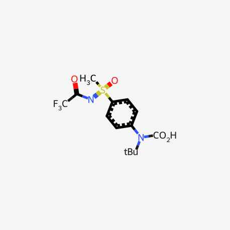 CC(C)(C)N(C(=O)O)c1ccc(S(C)(=O)=NC(=O)C(F)(F)F)cc1